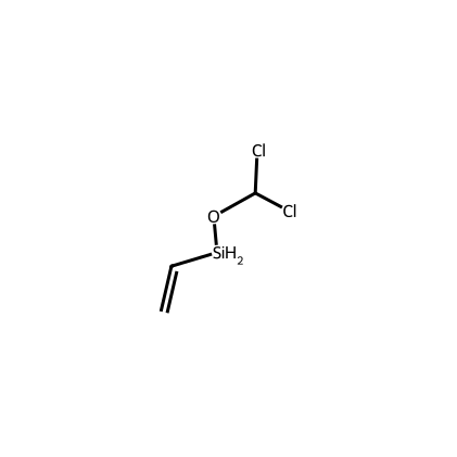 C=C[SiH2]OC(Cl)Cl